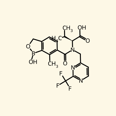 Cc1c(C(=O)N(Cc2ccnc(C(F)(F)F)n2)[C@H](C(=O)O)C(C)C)ccc2c1B(O)OC2